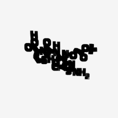 CC(C)(C)OC(=O)CON=C(C(=O)NC1C(=O)N2C(C(=O)O)=CCS[C@@H]12)c1nc(N)sc1Cl